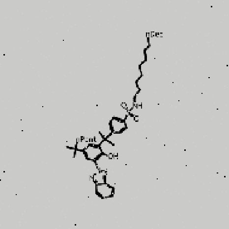 CCCCCCCCCCCCCCCCCCNS(=O)(=O)c1ccc(C(C)(C)c2cc(C(C)(C)CCCCC)cc(-n3nc4ccccc4n3)c2O)cc1